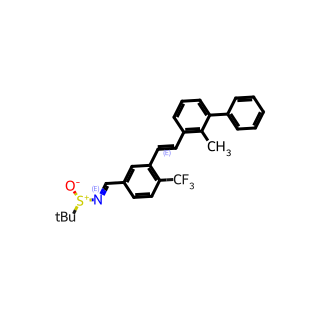 Cc1c(/C=C/c2cc(/C=N/[S+]([O-])C(C)(C)C)ccc2C(F)(F)F)cccc1-c1ccccc1